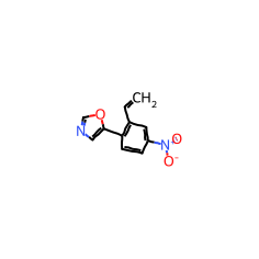 C=Cc1cc([N+](=O)[O-])ccc1-c1cnco1